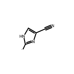 [CH2]c1nc(C#N)c[nH]1